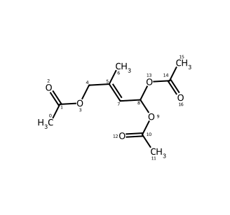 CC(=O)OCC(C)=CC(OC(C)=O)OC(C)=O